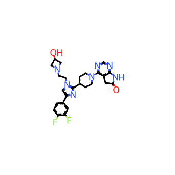 O=C1Cc2c(ncnc2N2CCC(c3nc(-c4ccc(F)c(F)c4)cn3CCN3CC(O)C3)CC2)N1